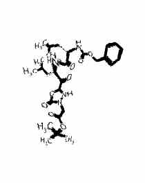 CC(C)C[C@H](NC(=O)OCc1ccccc1)C(=O)N[C@@H](CC(C)C)C(=O)C1NN(CC(=O)OC(C)(C)C)C(=O)O1